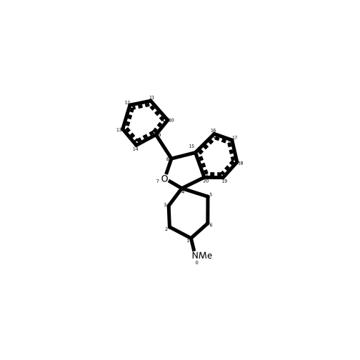 CNC1CCC2(CC1)OC(c1ccccc1)c1ccccc12